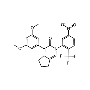 COc1cc(OC)cc(-c2c3c(cn(-c4cc([N+](=O)[O-])ccc4C(F)(F)F)c2=O)CCC3)c1